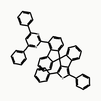 c1ccc(-c2cc(-c3ccccc3)nc(-c3cccc4c3-c3ccccc3C43c4ccccc4-c4c(-c5ccccc5)sc(-c5ccccc5)c43)n2)cc1